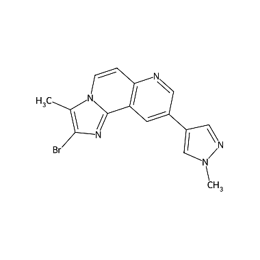 Cc1c(Br)nc2c3cc(-c4cnn(C)c4)cnc3ccn12